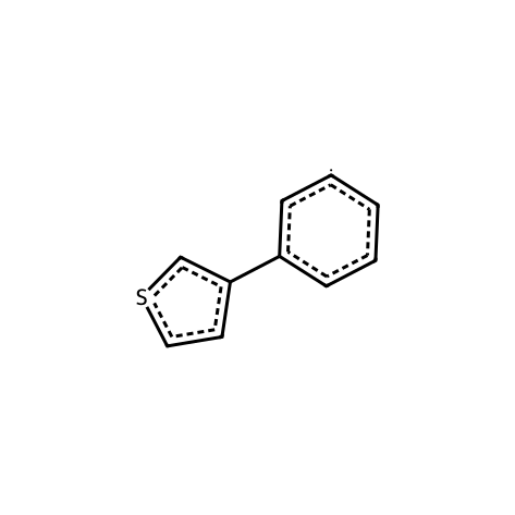 [c]1cccc(-c2ccsc2)c1